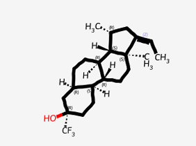 C/C=C1/C[C@@H](C)[C@H]2[C@@H]3CC[C@@H]4C[C@@](O)(C(F)(F)F)CC[C@@H]4[C@H]3CC[C@]12C